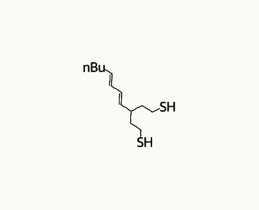 CCCCC=CC=CC(CCS)CCS